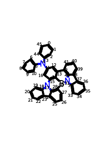 c1ccc(N(c2ccccc2)c2cc3c4c(c2)-n2c5ccccc5c5cccc(c52)B4n2c4ccccc4c4cccc-3c42)cc1